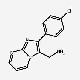 NCc1c(-c2ccc(Cl)cc2)nc2ncccn12